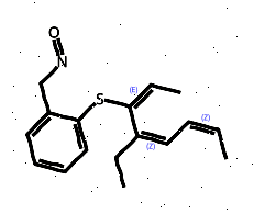 C\C=C/C=C(CC)\C(=C/C)Sc1ccccc1CN=O